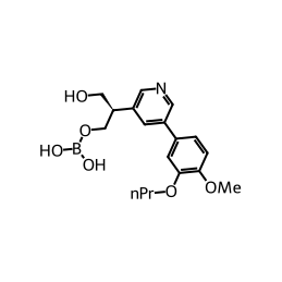 CCCOc1cc(-c2cncc([C@H](CO)COB(O)O)c2)ccc1OC